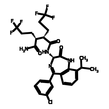 CC(C)c1cccc2c1NC(=O)[C@@H](NC(=O)[C@@H](CCC(F)(F)F)[C@@H](CCC(F)(F)F)C(N)=O)N=C2c1cccc(Cl)c1